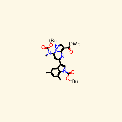 COC(=O)c1cnn2c(N(C)C(=O)OC(C)(C)C)cc(-c3cn(C(=O)OC(C)(C)C)c4c(C)cc(C)cc34)nc12